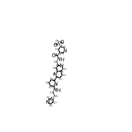 CS(=O)(=O)c1cncc(C(=O)NCc2cc3nc(-c4cccc(NCCn5ccnc5)n4)ccc3cn2)c1